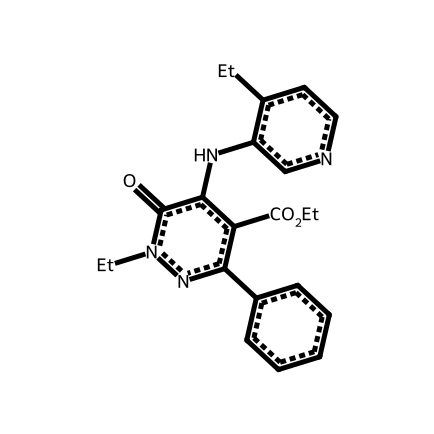 CCOC(=O)c1c(-c2ccccc2)nn(CC)c(=O)c1Nc1cnccc1CC